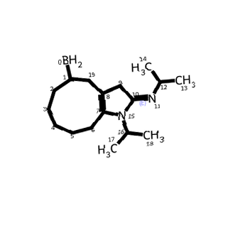 BC1CCCCCC2=C(C/C(=N\C(C)C)N2C(C)C)C1